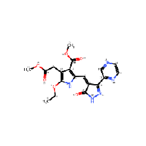 CCOc1[nH]c(C=C2C(=O)NN=C2c2cnccn2)c(C(=O)OC)c1CC(=O)OC